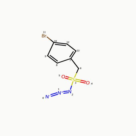 [N-]=[N+]=NS(=O)(=O)Cc1ccc(Br)cc1